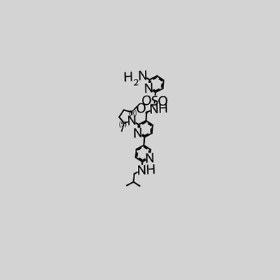 CC(C)CNc1ccc(-c2ccc(C(=O)NS(=O)(=O)c3cccc(N)n3)c(N3[C@H](C)CC[C@@H]3C)n2)cn1